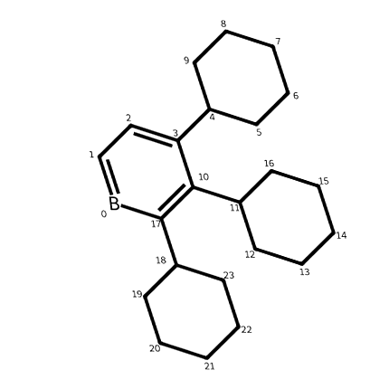 b1ccc(C2CCCCC2)c(C2CCCCC2)c1C1CCCCC1